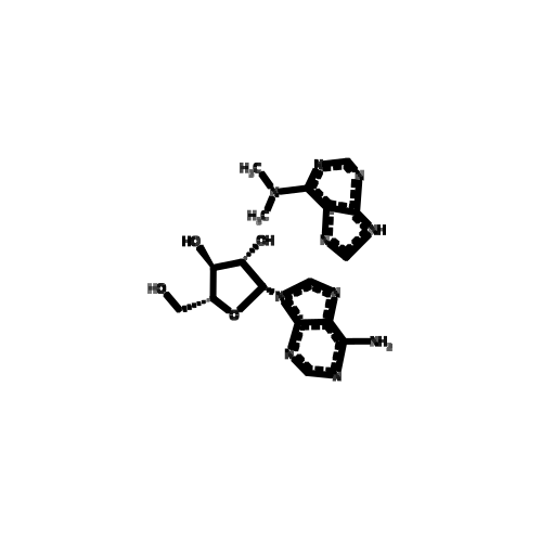 CN(C)c1ncnc2[nH]cnc12.Nc1ncnc2c1ncn2[C@@H]1O[C@H](CO)[C@@H](O)[C@@H]1O